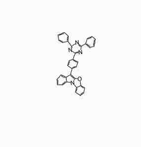 c1ccc(-c2nc(-c3ccccc3)nc(-c3ccc(-c4c5ccccc5n5c4oc4ccccc45)cc3)n2)cc1